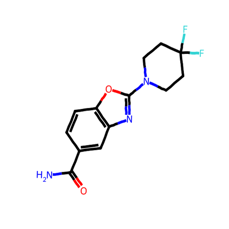 NC(=O)c1ccc2oc(N3CCC(F)(F)CC3)nc2c1